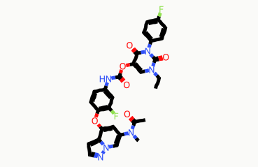 CCn1cc(OC(=O)Nc2ccc(Oc3cc(N(C)C(C)=O)cn4nccc34)c(F)c2)c(=O)n(-c2ccc(F)cc2)c1=O